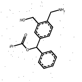 CC(C)C(=O)OC(c1ccccc1)c1ccc(CN)c(CO)c1